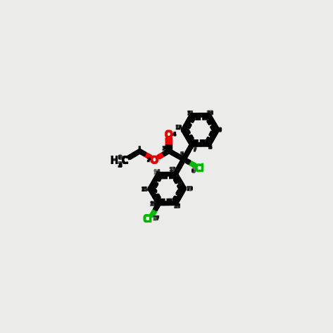 CCOC(=O)C(Cl)(c1ccccc1)c1ccc(Cl)cc1